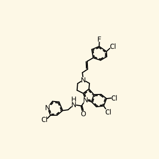 O=C(NCc1ccnc(Cl)c1)n1c2c(c3cc(Cl)c(Cl)cc31)CN(C/C=C/c1ccc(Cl)c(F)c1)CC2